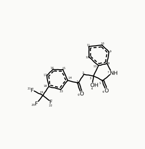 O=C(CC1(O)C(=O)Nc2ccccc21)c1cccc(C(F)(F)F)c1